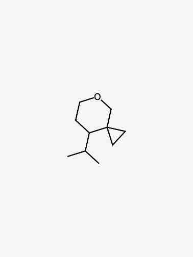 CC(C)C1CCOCC12CC2